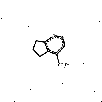 CCOC(=O)c1cnnc2c1CCC2